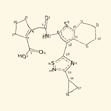 O=C(O)C1=C(C(=O)Nc2sc3c(c2-c2nc(C4CC4)ns2)CCCC3)CCC1